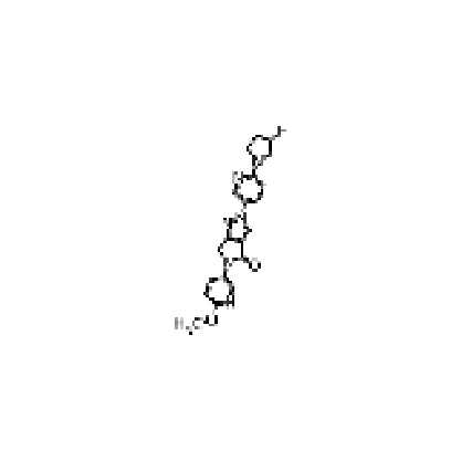 COc1ccc(N2Cc3nn(-c4ccc(N5CC[C@@H](F)C5)nc4)cc3C2=O)cn1